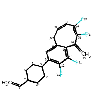 C=CC1CCC(c2cc3c(c(F)c2F)C(=C)/C(F)=C(F)\C=C/C3)CC1